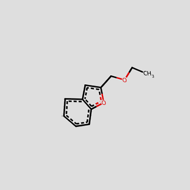 CCOCc1cc2c[c]ccc2o1